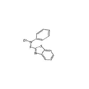 CCN(Sc1nc2ccccc2s1)c1ccccc1